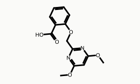 COc1cc(OC)nc(COc2ccccc2C(=O)O)n1